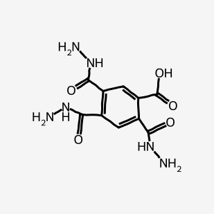 NNC(=O)c1cc(C(=O)NN)c(C(=O)NN)cc1C(=O)O